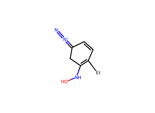 CCC1=C(NO)CC(=[N+]=[N-])C=C1